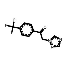 O=C(Cn1cncn1)c1ccc(C(F)(F)F)cc1